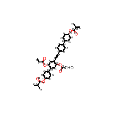 C=CC(=O)Oc1cc(C#Cc2ccc(-c3ccc(OC(=O)C(=C)C)cc3)cc2)c(OC(=O)C=O)cc1-c1ccc(OC(=O)C(=C)C)cc1